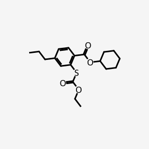 CCCc1ccc(C(=O)OC2CCCCC2)c(SC(=O)OCC)c1